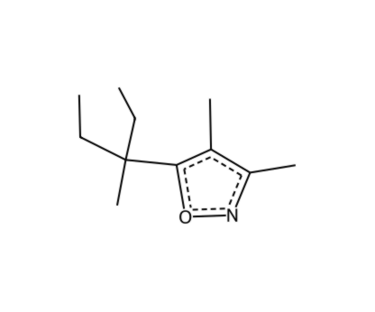 CCC(C)(CC)c1onc(C)c1C